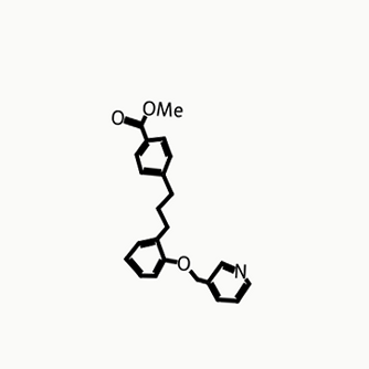 COC(=O)c1ccc(CCCc2ccccc2OCc2cccnc2)cc1